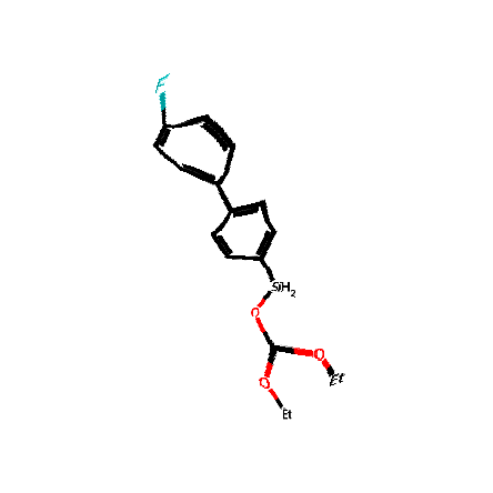 CCOC(OCC)O[SiH2]c1ccc(-c2ccc(F)cc2)cc1